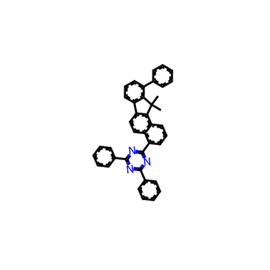 CC1(C)c2c(-c3ccccc3)cccc2-c2ccc3c(-c4nc(-c5ccccc5)nc(-c5ccccc5)n4)cccc3c21